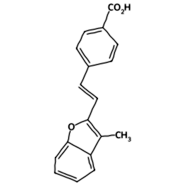 Cc1c(C=Cc2ccc(C(=O)O)cc2)oc2ccccc12